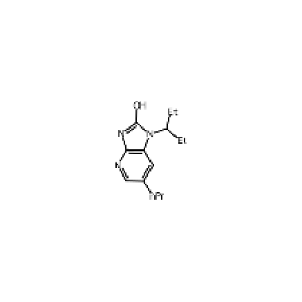 CCCc1cnc2nc(O)n(C(CC)CC)c2c1